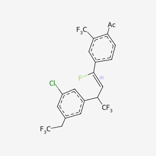 CC(=O)c1ccc(/C(F)=C/C(c2cc(Cl)cc(CC(F)(F)F)c2)C(F)(F)F)cc1C(F)(F)F